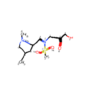 CC1CC(CN(CC(=O)CO)S(C)(=O)=O)N(C)C1